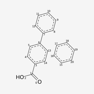 O=C(O)c1ccc(-c2ccccc2)cc1.c1ccccc1